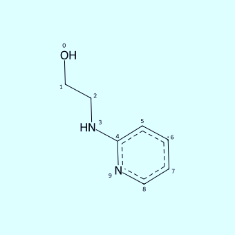 OCCNc1c[c]ccn1